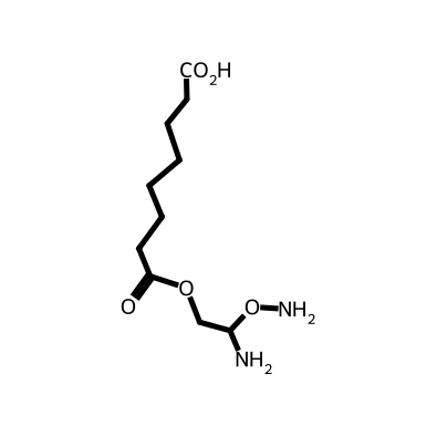 NOC(N)COC(=O)CCCCCCC(=O)O